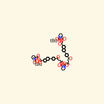 CC(C)(C)OC(=O)N1CCCC[C@H]1C(=O)OCC(=O)c1ccc2cc(-c3ccc(C(=O)CCC(C)(C)OC(=O)C4CCCCN4C(=O)OC(C)(C)CCC(=O)c4ccc(-c5ccc6cc(C(=O)COC(=O)[C@@H]7CCCCN7C(=O)OC(C)(C)C)ccc6c5)cc4)cc3)ccc2c1